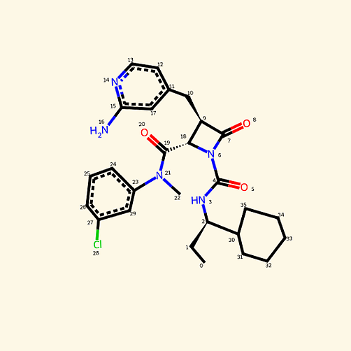 CC[C@@H](NC(=O)N1C(=O)[C@H](Cc2ccnc(N)c2)[C@H]1C(=O)N(C)c1cccc(Cl)c1)C1CCCCC1